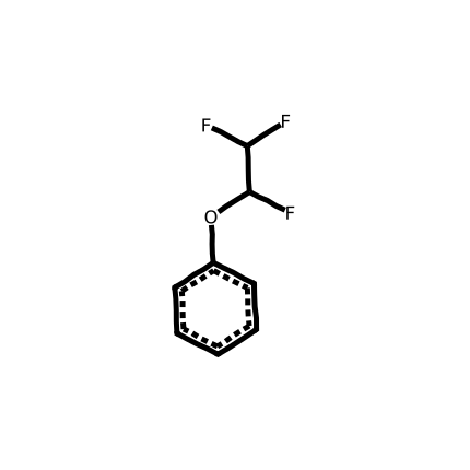 FC(F)C(F)Oc1ccccc1